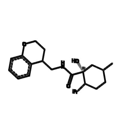 CC1CCC(C(C)C)[C@@](O)(C(=O)NCC2CCOc3ccccc32)C1